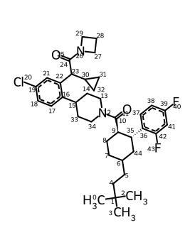 CC(C)(C)CCC1CC[C@@H](C(=O)N2CCC(c3ccc(Cl)cc3C(C(=O)N3CCC3)C3CC3)CC2)[C@H](c2ccc(F)cc2F)C1